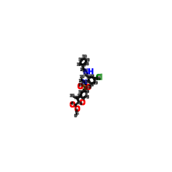 CCOC(=O)c1oc2ccc(S(=O)(=O)N(CC)c3ccc(Cl)cc3CNCc3ccccc3)cc2c1C